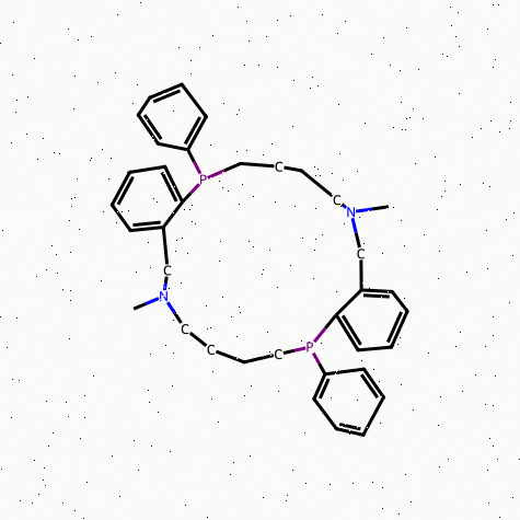 CN1CCCCP(c2ccccc2)c2ccccc2CN(C)CCCCP(c2ccccc2)c2ccccc2C1